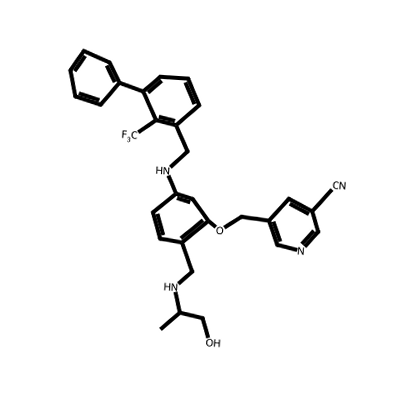 CC(CO)NCc1ccc(NCc2cccc(-c3ccccc3)c2C(F)(F)F)cc1OCc1cncc(C#N)c1